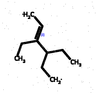 [CH2]/C=C(\CC)C(C[CH2])CC